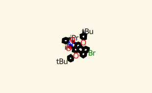 CC(C)c1cccc(C(C)C)c1N1C(=O)c2cc(Oc3ccc(C(C)(C)C)cc3)c3c4cccc5c(Br)ccc(c6c(Oc7ccc(C(C)(C)C)cc7)cc(c2c36)C1=O)c54